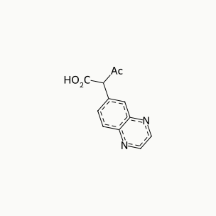 CC(=O)C(C(=O)O)c1ccc2nccnc2c1